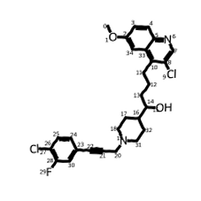 COc1ccc2ncc(Cl)c(CCCC(O)C3CCN(CC#Cc4ccc(Cl)c(F)c4)CC3)c2c1